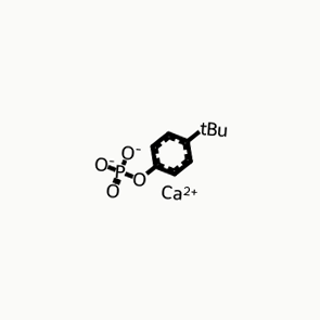 CC(C)(C)c1ccc(OP(=O)([O-])[O-])cc1.[Ca+2]